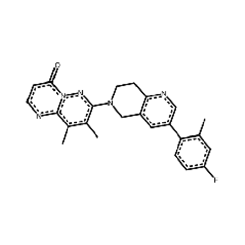 Cc1cc(F)ccc1-c1cnc2c(c1)CN(c1nn3c(=O)ccnc3c(C)c1C)CC2